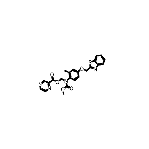 COC(=O)N(COC(=O)c1cnccn1)c1ccc(OCc2nc3ccccc3s2)cc1C